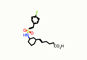 O=C(O)CCCC=CC1CCCC(NS(=O)(=O)C=Cc2ccc(F)cc2)C1